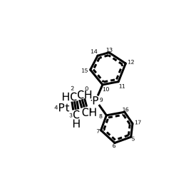 C#C.C#C.[Pt].c1ccc([P]c2ccccc2)cc1